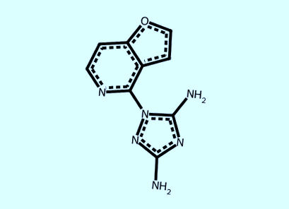 Nc1nc(N)n(-c2nccc3occc23)n1